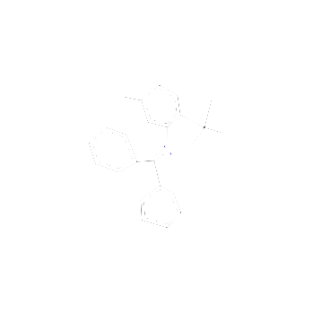 Cc1ccc(C(C)(C)C)c(N=C(c2ccccc2)c2ccccc2)c1